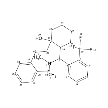 CN(C)C(c1ccccc1C(F)(F)F)C1CCCCC1(O)CCc1ccccc1F